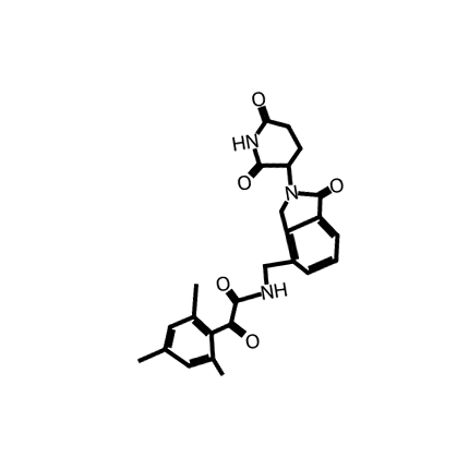 Cc1cc(C)c(C(=O)C(=O)NCc2cccc3c2CN(C2CCC(=O)NC2=O)C3=O)c(C)c1